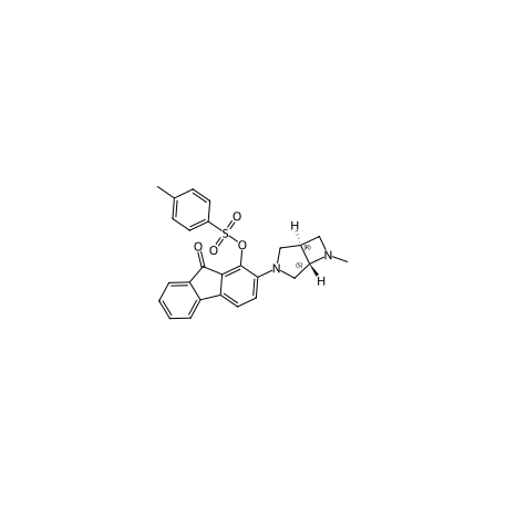 Cc1ccc(S(=O)(=O)Oc2c(N3C[C@H]4CN(C)[C@@H]4C3)ccc3c2C(=O)c2ccccc2-3)cc1